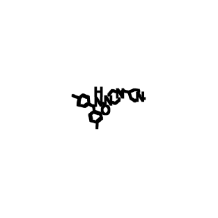 Cc1ccc(C(NC(=O)N2CCN(CC3CCN(C)CC3)CC2)c2ccc(C)cc2)cc1